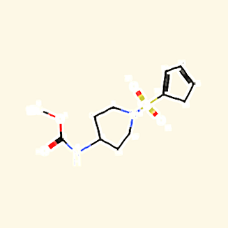 CC(C)(C)OC(=O)NC1CCN(S(=O)(=O)C2=CC=CC2)CC1